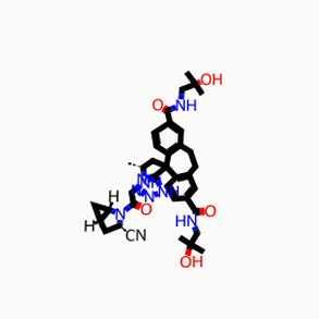 C[C@H](CC1(c2nnn[nH]2)c2ccc(C(=O)NCC(C)(C)O)cc2CCc2cc(C(=O)NCC(C)(C)O)ccc21)NCC(=O)N1[C@H](C#N)C[C@@H]2C[C@@H]21